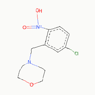 O=[N+](O)c1ccc(Cl)cc1CN1CCOCC1